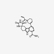 C=CC(=O)N1CCC=C(c2ccc(C(N)=O)c3[nH]c4c(c23)CC2(CC4)NC(=O)NC2=O)C1